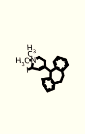 C[N+]1(C)CCC(C2c3ccccc3CCc3ccccc32)=CC1I